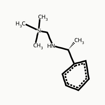 C[C@@H](NC[Si](C)(C)C)c1ccccc1